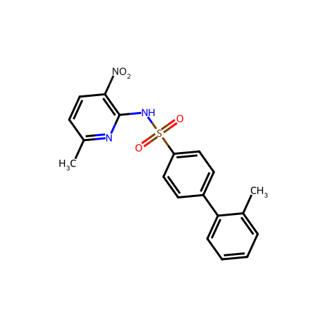 Cc1ccc([N+](=O)[O-])c(NS(=O)(=O)c2ccc(-c3ccccc3C)cc2)n1